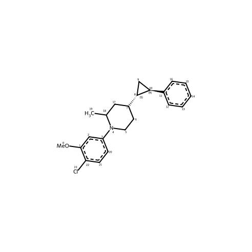 COc1cc(N2CCC([C@@H]3C[C@H]3c3ccccc3)CC2C)ccc1Cl